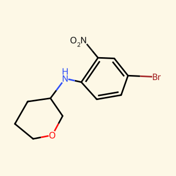 O=[N+]([O-])c1cc(Br)ccc1NC1CCCOC1